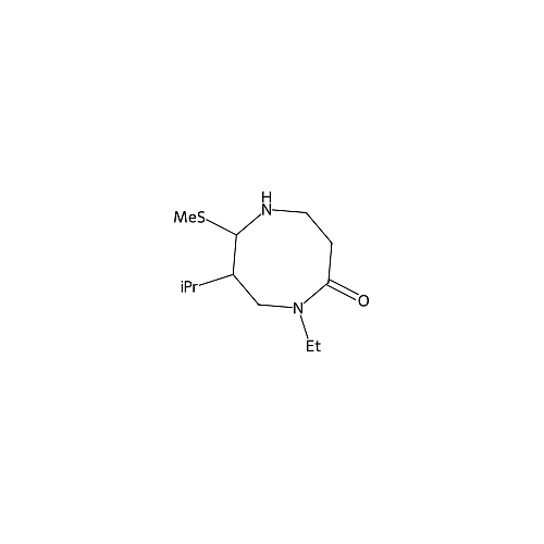 CCN1CC(C(C)C)C(SC)NCCC1=O